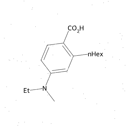 CCCCCCc1cc(N(C)CC)ccc1C(=O)O